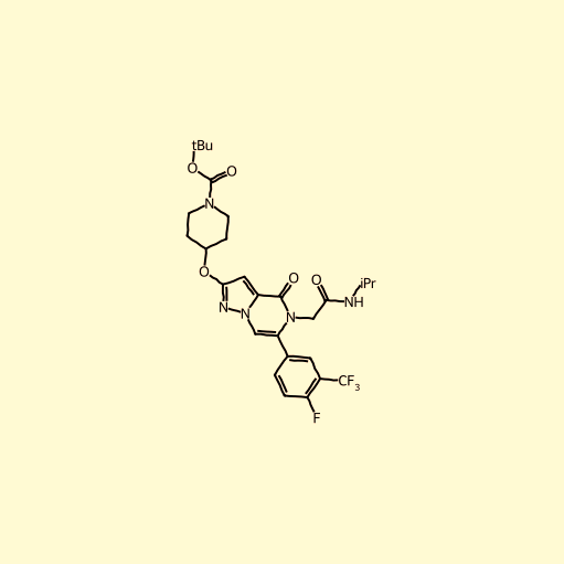 CC(C)NC(=O)Cn1c(-c2ccc(F)c(C(F)(F)F)c2)cn2nc(OC3CCN(C(=O)OC(C)(C)C)CC3)cc2c1=O